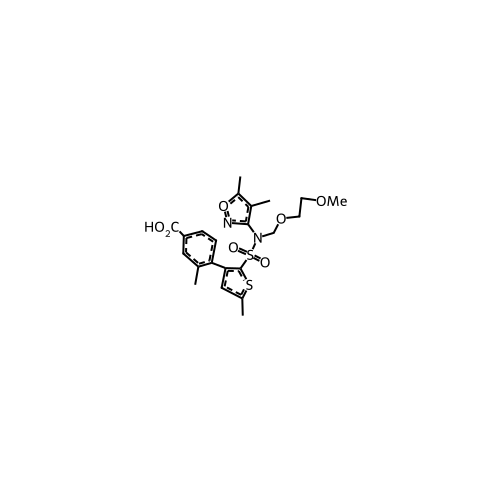 COCCOCN(c1noc(C)c1C)S(=O)(=O)c1sc(C)cc1-c1ccc(C(=O)O)cc1C